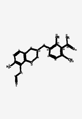 Cc1ccc2c(c1OC=O)OCN(Cc1ccc(C)c(C(=O)O)c1O)C2